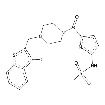 CS(=O)(=O)Nc1ccn(C(=O)N2CCN(Cc3sc4ccccc4c3Cl)CC2)n1